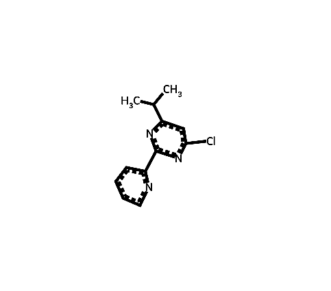 CC(C)c1cc(Cl)nc(-c2ccccn2)n1